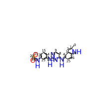 Cc1cc2cc(Nc3ccnc(Nc4cccc(NS(C)(=O)=O)c4)n3)ccc2[nH]1